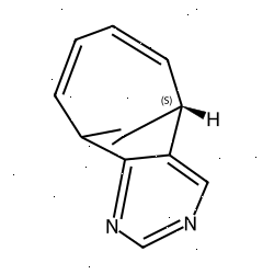 C1=CC2=C[C@H](C=C1)c1cncnc12